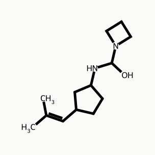 CC(C)=CC1CCC(NC(O)N2CCC2)C1